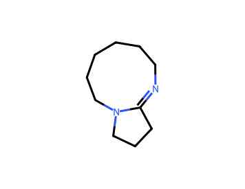 C1CCCN2CCCC2=NCC1